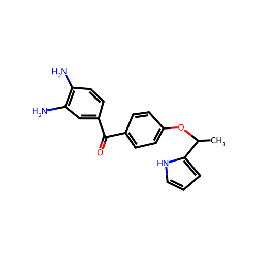 CC(Oc1ccc(C(=O)c2ccc(N)c(N)c2)cc1)c1ccc[nH]1